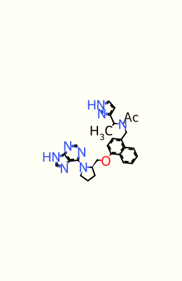 CC(=O)N(Cc1ccc(OC[C@H]2CCCN2c2ncnc3[nH]cnc23)c2ccccc12)C(C)c1cc[nH]n1